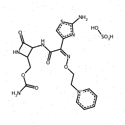 NC(=O)OCC1NC(=O)C1NC(=O)/C(=N\OCC[n+]1ccccc1)c1csc(N)n1.O=S(=O)(O)O